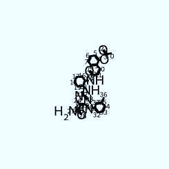 CC(=O)Oc1ccccc1/C=C\C(=O)N[C@@H]1CCCC[C@@H]1Nc1ncc(C(N)=O)c(Nc2cccc(C)c2)n1